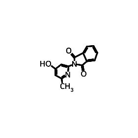 Cc1cc(O)cc(N2C(=O)c3ccccc3C2=O)n1